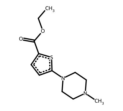 CCOC(=O)c1ccc(N2CCN(C)CC2)s1